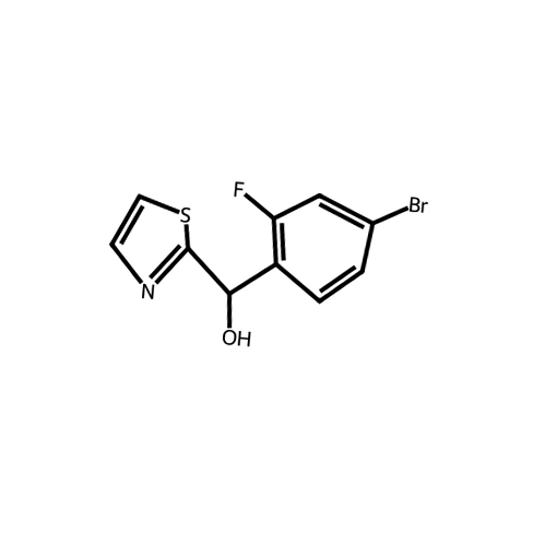 OC(c1nccs1)c1ccc(Br)cc1F